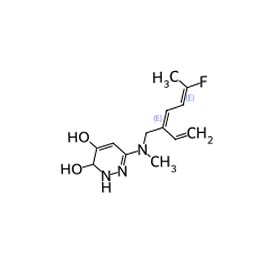 C=C/C(=C\C=C(/C)F)CN(C)C1=NNC(O)C(O)=C1